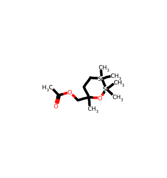 CC(=O)OCC1(C)CC[Si](C)(C)[Si](C)(C)O1